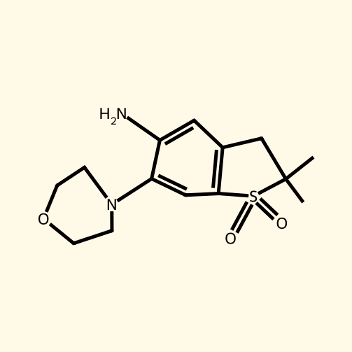 CC1(C)Cc2cc(N)c(N3CCOCC3)cc2S1(=O)=O